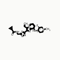 C=Cc1c(-c2nnc(CNC(=O)C3CC3)s2)nc2c(N[C@@H]3CCN(C)C[C@@H]3F)cccn12